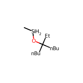 CCCCC(CC)(CCCC)O[SiH2]C